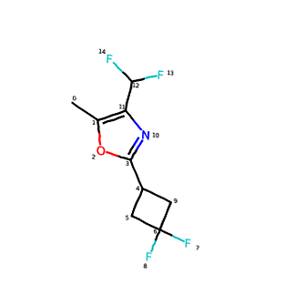 Cc1oc(C2CC(F)(F)C2)nc1C(F)F